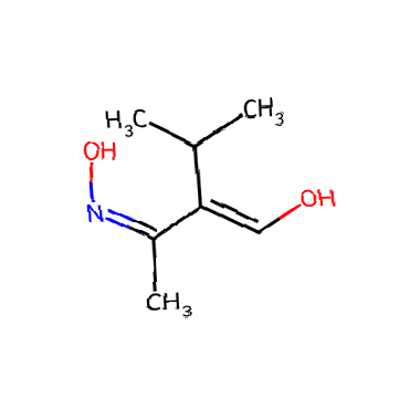 CC(=N/O)/C(=C/O)C(C)C